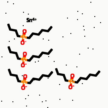 CCCCCCP(=O)([O-])CCCC.CCCCCCP(=O)([O-])CCCC.CCCCCCP(=O)([O-])CCCC.CCCCCCP(=O)([O-])CCCC.[Sn+4]